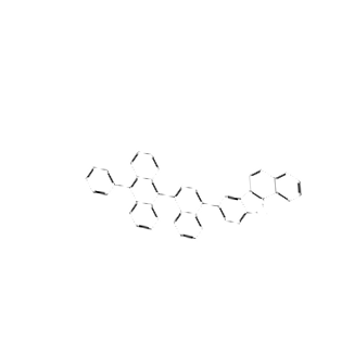 c1ccc(-c2c3ccccc3c(-c3ccc(-c4ccc5oc6c7ccccc7ccc6c5c4)c4ccccc34)c3ccccc23)cc1